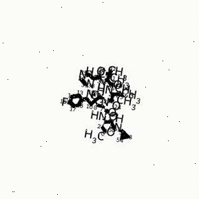 CCC[C@H](NC(=O)[C@@H]1C[C@]2(CC(c3ccc(F)cc3)=NO2)CN1C(=O)[C@@H](NC(=O)[C@@H](NC(=O)c1cnccn1)C(C)(C)C)C(C)(C)C)C(=O)C(=O)NC1CC1